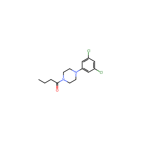 CCCC(=O)N1CCN(c2cc(Cl)cc(Cl)c2)CC1